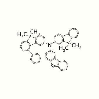 CC1(C)c2ccccc2-c2ccc(N(c3ccc4c(c3)-c3c(-c5ccccc5)cccc3C4(C)C)c3ccc4sc5ccccc5c4c3)cc21